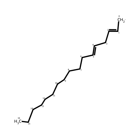 [CH2]/C=C/C/C=C/CCCCCCCCCCC